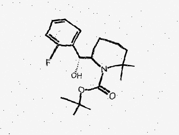 CC(C)(C)OC(=O)N1C([C@H](O)c2ccccc2F)CCCC1(C)C